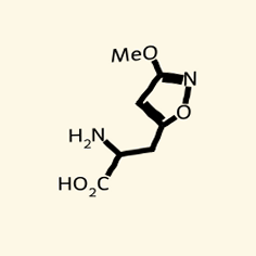 COc1cc(CC(N)C(=O)O)on1